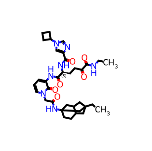 CCNC(=O)C(=O)CC[C@H](NC(=O)c1cn(C2CCC2)cn1)C(=O)Nc1cccn(CC(=O)NC23CCC4CC(CC)(CC4C2)C3)c1=O